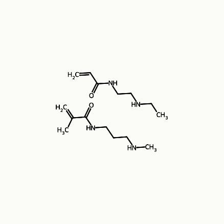 C=C(C)C(=O)NCCCNC.C=CC(=O)NCCNCC